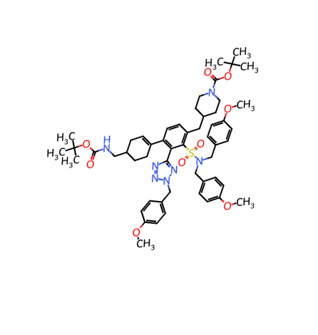 COc1ccc(CN(Cc2ccc(OC)cc2)S(=O)(=O)c2c(CC3CCN(C(=O)OC(C)(C)C)CC3)ccc(C3=CCC(CNC(=O)OC(C)(C)C)CC3)c2-c2nnn(Cc3ccc(OC)cc3)n2)cc1